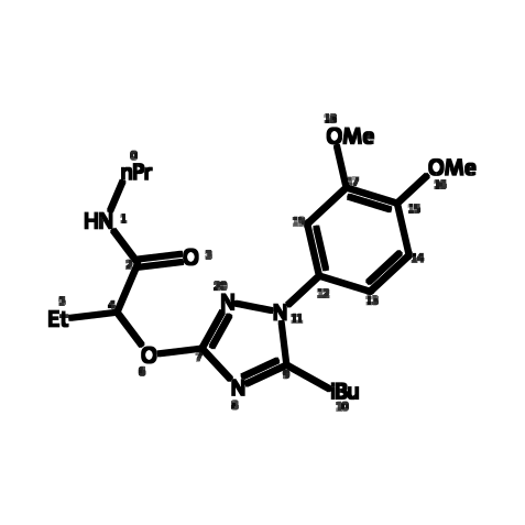 CCCNC(=O)C(CC)Oc1nc(C(C)CC)n(-c2ccc(OC)c(OC)c2)n1